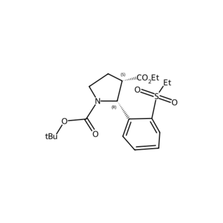 CCOC(=O)[C@H]1CCN(C(=O)OC(C)(C)C)[C@H]1c1ccccc1S(=O)(=O)CC